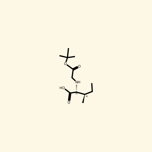 CC[C@@H](C)[C@@H](NCC(=O)OC(C)(C)C)C(=O)O